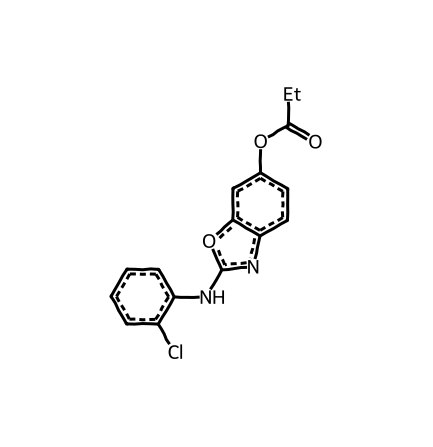 CCC(=O)Oc1ccc2nc(Nc3ccccc3Cl)oc2c1